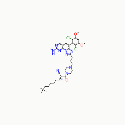 CNc1ncc2cc(-c3c(Cl)c(OC)cc(OC)c3Cl)c3nc(CCCN4CCN(C(=O)/C(C#N)=C/CCCCCC(C)(C)C)CC4)nn3c2n1